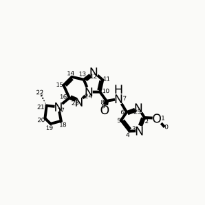 COc1nccc(NC(=O)c2cnc3ccc(N4CCC[C@@H]4C)nn23)n1